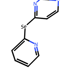 c1ccc([Se]c2ccncn2)nc1